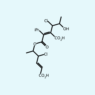 CC(C)/C(C(=O)OC(C)C(Cl)C=CC(=O)O)=C(/C(=O)O)C(Cl)C(C)O